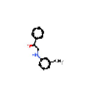 [CH2]c1cccc(NCC(=O)c2ccccc2)c1